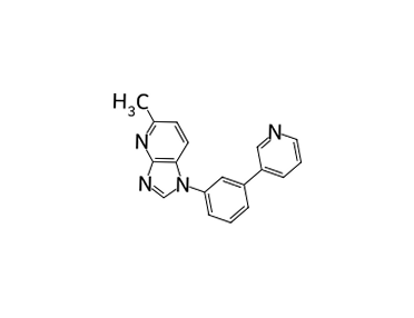 Cc1ccc2c(ncn2-c2cccc(-c3cccnc3)c2)n1